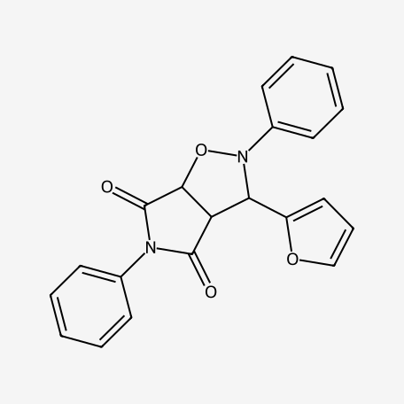 O=C1C2ON(c3ccccc3)C(c3ccco3)C2C(=O)N1c1ccccc1